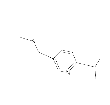 CSCc1ccc(C(C)C)nc1